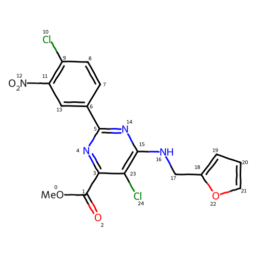 COC(=O)c1nc(-c2ccc(Cl)c([N+](=O)[O-])c2)nc(NCc2ccco2)c1Cl